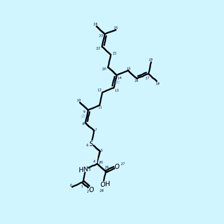 CC(=O)N[C@@H](CSC/C=C(/C)CC/C=C(/CC=C(C)C)CCC=C(C)C)C(=O)O